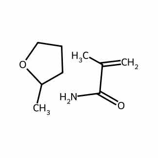 C=C(C)C(N)=O.CC1CCCO1